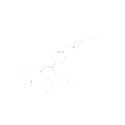 C[C@H]1COCCN1c1cc(C2(S(=O)(=O)CCCO)CCC2)nc(-c2ccc(NC(=O)NCCCO)cc2)n1